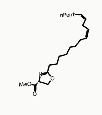 CCCCC/C=C\C/C=C\CCCCCCCC1=N[C@H](C(=O)OC)CO1